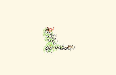 CCCC(CC)CCC(C)CPC.Cc1c(F)c(F)c(F)c(C(F)(F)F)c1-c1c(F)c(F)c(F)c(F)c1F.Cc1cc(-c2c(F)c(F)c(F)c(F)c2F)c(F)c(F)c1F.Cc1cc(-c2c(F)c(F)c(F)c(F)c2F)c(F)c(F)c1F.Cc1cc(-c2c(F)c(F)c(F)c(F)c2F)c(F)c(F)c1F.Cc1cc(-c2c(F)c(F)c(F)c(F)c2F)c(F)c(F)c1F.[O]=[Al][OH]